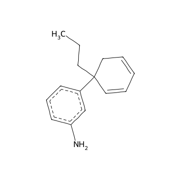 CCCC1(c2cccc(N)c2)C=CC=CC1